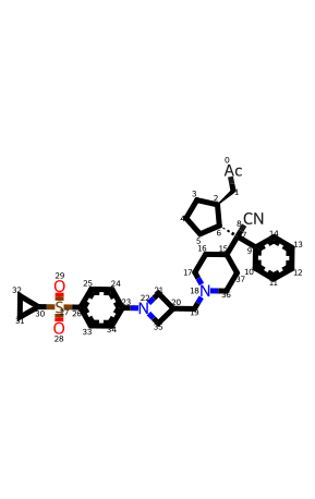 CC(=O)C[C@@H]1CCC[C@H]1C(C#N)(c1ccccc1)C1CCN(CC2CN(c3ccc(S(=O)(=O)C4CC4)cc3)C2)CC1